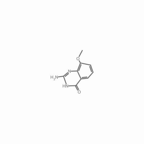 COc1cccc2c(=O)[nH]c(N)nc12